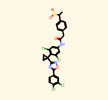 CC(c1ccc(CC(=O)Nc2cc(Cl)c(C3(c4noc(-c5ccc(Cl)c(Cl)c5)n4)CC3)c(Cl)c2)cc1)[SH](=O)=O